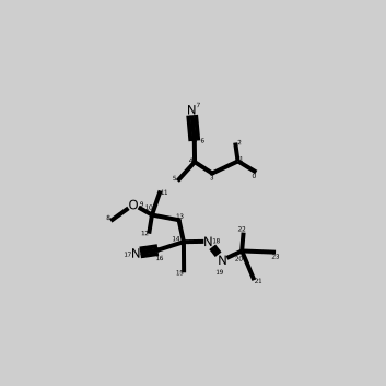 CC(C)CC(C)C#N.COC(C)(C)CC(C)(C#N)N=NC(C)(C)C